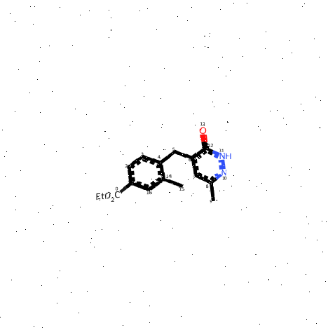 CCOC(=O)c1ccc(Cc2cc(C)n[nH]c2=O)c(C)c1